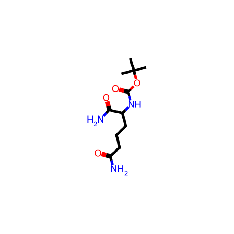 CC(C)(C)OC(=O)NC(CCCC(N)=O)C(N)=O